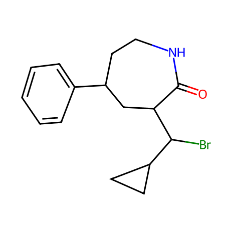 O=C1NCCC(c2ccccc2)CC1C(Br)C1CC1